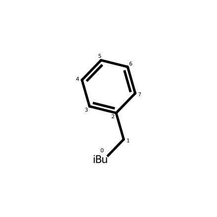 [CH2]CC([CH2])Cc1ccccc1